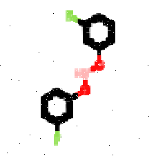 Fc1cccc(OBOc2cccc(F)c2)c1